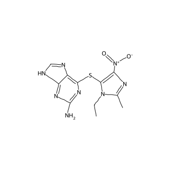 CCn1c(C)nc([N+](=O)[O-])c1Sc1nc(N)nc2[nH]cnc12